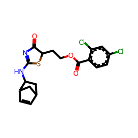 O=C(OCCC1SC(NC2CC3C=CC2C3)=NC1=O)c1ccc(Cl)cc1Cl